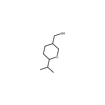 CC(C)C1CCC(CS)CO1